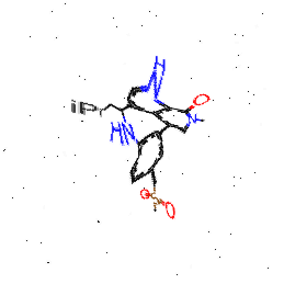 CC(C)CC1Nc2ccc(CS(C)(=O)=O)cc2-c2cn(C)c(=O)c3[nH]cc1c23